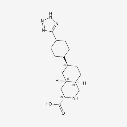 O=C(O)[C@@H]1C[C@H]2C[C@@H](C3CCC(c4nn[nH]n4)CC3)CC[C@H]2CN1